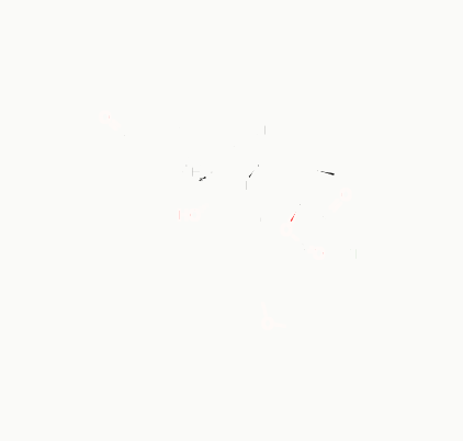 C[C@@H]1C[C@H]2[C@@H]3CCC4=CC(=O)C=C[C@]4(C)[C@@]3(C)[C@@H](O)C[C@]2(C)[C@@]1(OC(=O)c1ccoc1)C(=O)CCl